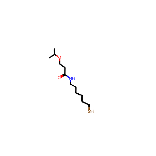 CC(C)OCCC(=O)NCCCCCCS